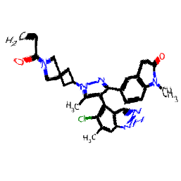 C=CC(=O)N1CC2(CC(n3nc(-c4ccc5c(c4)CC(=O)N5C)c(-c4c(Cl)c(C)cc5[nH]ncc45)c3C)C2)C1